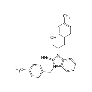 CC1=CCC(CC(CO)n2c(=N)n(Cc3ccc(C)cc3)c3ccccc32)C=C1